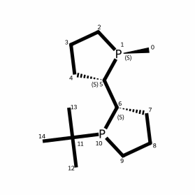 C[P@]1CCC[C@H]1[C@@H]1CCCP1C(C)(C)C